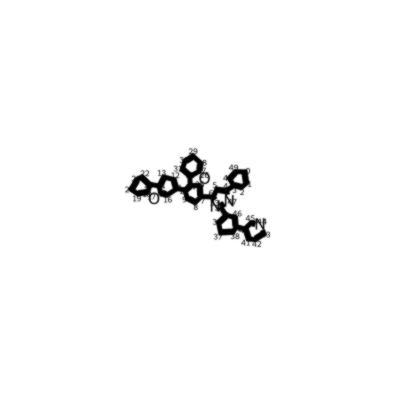 c1ccc(-c2cc(-c3ccc(-c4ccc5c(c4)oc4ccccc45)c4c3oc3ccccc34)nc(-c3cccc(-c4cccnc4)c3)n2)cc1